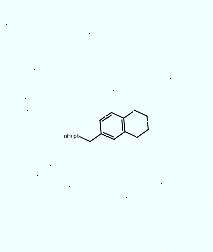 CCCCCCCCc1ccc2c(c1)CCCC2